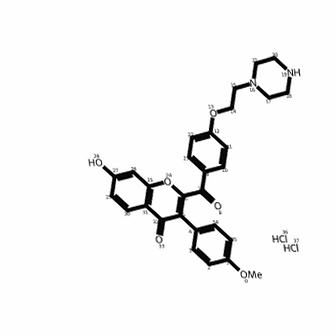 COc1ccc(-c2c(C(=O)c3ccc(OCCN4CCNCC4)cc3)oc3cc(O)ccc3c2=O)cc1.Cl.Cl